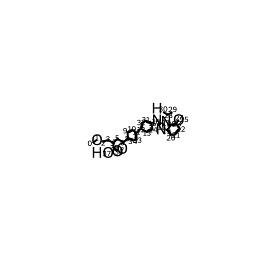 COCCC(CC(=O)c1ccc(-c2ccc(Nc3nc4cccc(OC)c4n3C(C)C)cc2)cc1)C(=O)O